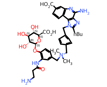 CCCCc1nc2c(N)nc3cc(C(=O)O)ccc3c2n1Cc1ccc(C[N+](C)(C)Cc2ccc(O[C@@H]3O[C@H](C(=O)O)[C@@H](O)[C@H](O)[C@H]3O)c(NC(=O)CCN)c2)cc1